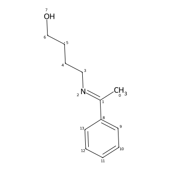 CC(=NCC[CH]CO)c1ccccc1